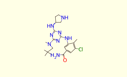 Cc1c(Cl)cc(C(N)=O)cc1Nc1nc(N[C@H]2CCNC2)nc(N(C)CC(C)(C)C)n1